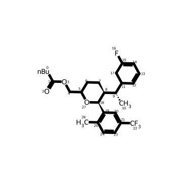 CCCCC(=O)OCC1CC[C@@H]([C@@H](C)C2C=CC=C(F)C2)[C@@H](c2cc(C(F)(F)F)ccc2C)O1